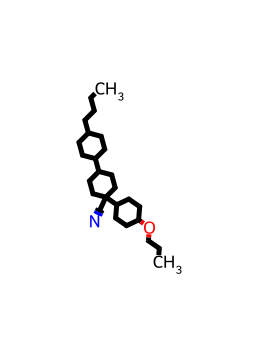 CCCCC1CCC(C2CCC(C#N)(C3CCC(OCCC)CC3)CC2)CC1